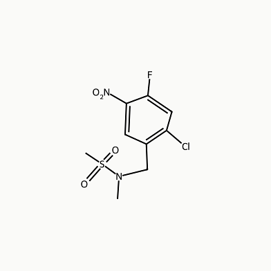 CN(Cc1cc([N+](=O)[O-])c(F)cc1Cl)S(C)(=O)=O